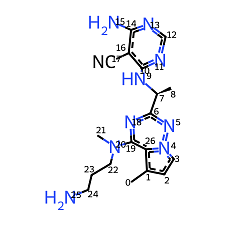 Cc1ccn2nc([C@H](C)Nc3ncnc(N)c3C#N)nc(N(C)CCCN)c12